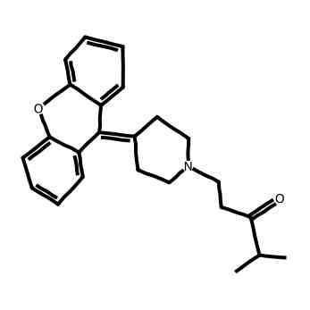 CC(C)C(=O)CCN1CCC(=C2c3ccccc3Oc3ccccc32)CC1